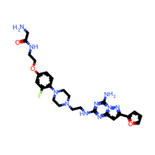 NCC(=O)NCCOc1ccc(N2CCN(CCNc3nc(N)n4nc(-c5ccco5)cc4n3)CC2)c(F)c1